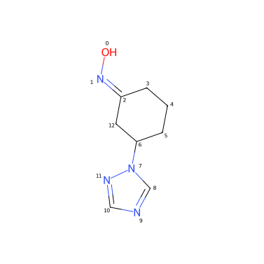 ON=C1CCCC(n2cncn2)C1